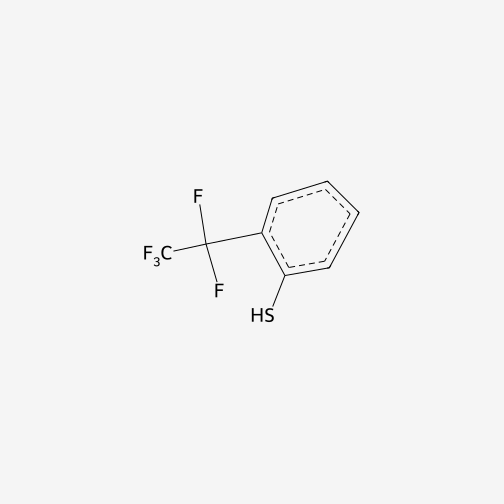 FC(F)(F)C(F)(F)c1ccccc1S